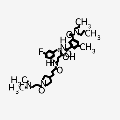 CCCN(CCC)C(=O)c1cc(C)cc(C(=O)N[C@@H](Cc2cc(F)cc(F)c2)[C@H](O)CCNC(=O)CCC2CCN(C(=O)CCN(CC)CC)CC2)c1